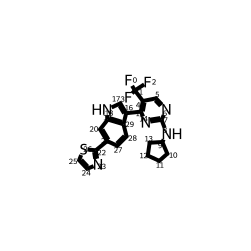 FC(F)(F)c1cnc(NC2CCCC2)nc1-c1c[nH]c2cc(-c3nccs3)ccc12